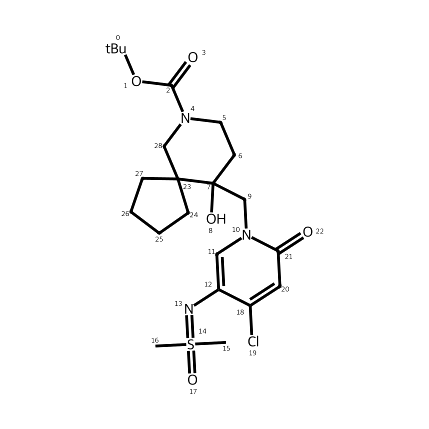 CC(C)(C)OC(=O)N1CCC(O)(Cn2cc(N=S(C)(C)=O)c(Cl)cc2=O)C2(CCCC2)C1